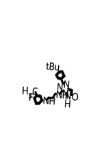 Cc1cc(NCCCNc2nc(-c3ccc(C(C)(C)C)cc3)nc3cc(=O)[nH]n23)ccc1F